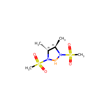 C[C@@H]1[C@@H](C)N(S(C)(=O)=O)PN1S(C)(=O)=O